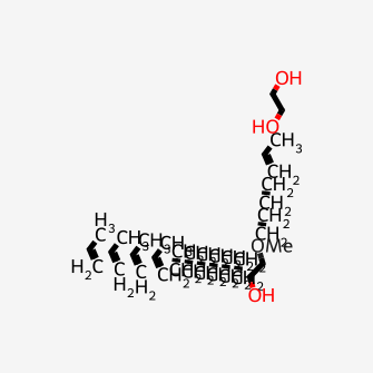 C=C.C=C.C=C.C=C.C=C.C=C.C=C.C=C.C=CC.C=CC.C=CC.C=CC.C=CC.COCCO.OCCO